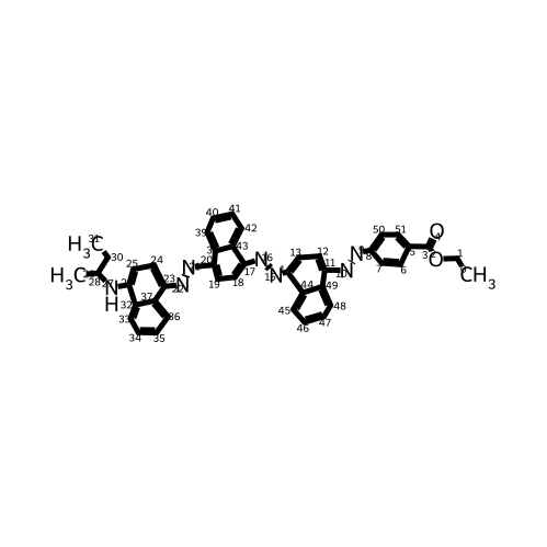 CCOC(=O)c1ccc(/N=N/c2ccc(/N=N/c3ccc(/N=N/c4ccc(NC(C)CC)c5ccccc45)c4ccccc34)c3ccccc23)cc1